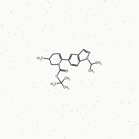 CC1CC=C(c2ccc3c(cnn3C(C)C)c2)N(C(=O)OC(C)(C)C)C1